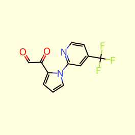 O=CC(=O)c1cccn1-c1cc(C(F)(F)F)ccn1